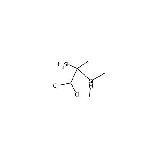 C[SiH](C)C(C)([SiH3])C(Cl)Cl